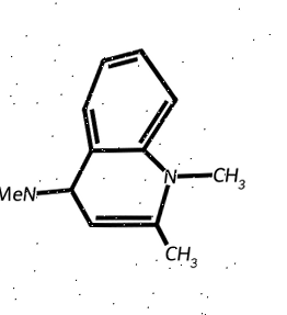 C[N]C1C=C(C)N(C)c2ccccc21